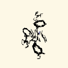 CCN(C(=O)[C@H]1CCCCN1)C1CN(/C(=N\C#N)Nc2cccc(OC(F)F)c2)N=C1c1ccc(Cl)c(C)c1